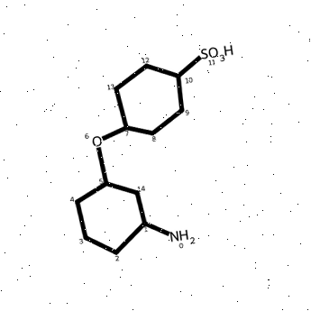 NC1CCCC(OC2CCC(S(=O)(=O)O)CC2)C1